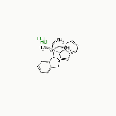 C=[CH][Zr](=[SiH2])([CH]=C)([CH]1C=Cc2ccccc21)[CH]1C=Cc2ccccc21.Cl.Cl